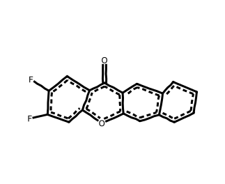 O=c1c2cc(F)c(F)cc2oc2cc3ccccc3cc12